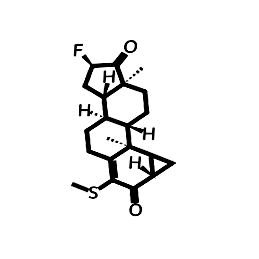 CSC1=C2CC[C@H]3[C@@H]4C[C@@H](F)C(=O)[C@@]4(C)CC[C@@H]3[C@@]2(C)C2C[C@@H]2C1=O